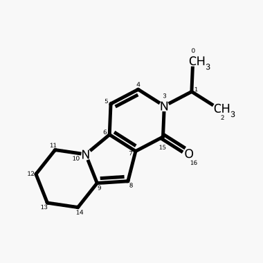 CC(C)n1ccc2c(cc3n2CCCC3)c1=O